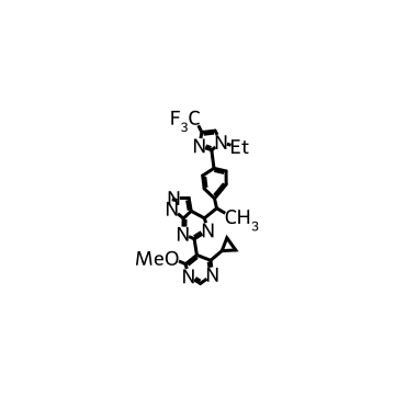 CCn1cc(C(F)(F)F)nc1-c1ccc(C(C)C2N=C(c3c(OC)ncnc3C3CC3)N=C3N=NC=C32)cc1